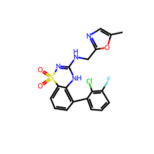 Cc1cnc(CNC2=NS(=O)(=O)c3cccc(-c4cccc(F)c4Cl)c3N2)o1